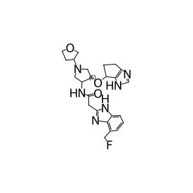 O=C(Cc1nc2c(CF)cccc2[nH]1)NC1CN(C2CCOC2)C[C@@H]1OC1CCc2nc[nH]c21